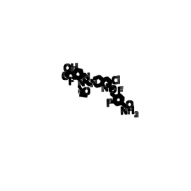 NC(=O)c1cc(F)c(COc2nc3c(cc2Cl)CCN(Cc2nc4ccc(C(=O)O)c(F)c4n2C[C@@H]2CCO2)C3)c(F)c1